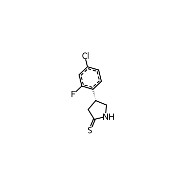 Fc1cc(Cl)ccc1[C@@H]1CNC(=S)C1